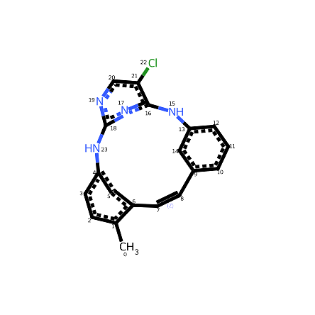 Cc1ccc2cc1/C=C\c1cccc(c1)Nc1nc(ncc1Cl)N2